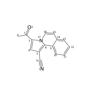 CC(=O)c1cc(C#N)c2c3ccccc3ccn12